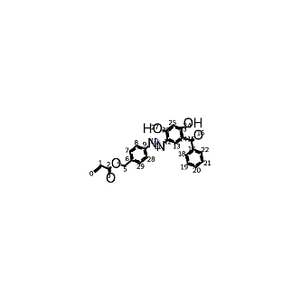 C=CC(=O)OCc1ccc(/N=N/c2cc(C(=O)c3ccccc3)c(O)cc2O)cc1